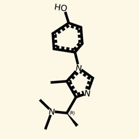 Cc1c([C@@H](C)N(C)C)ncn1-c1ccc(O)cc1